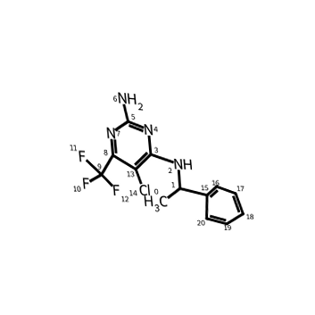 CC(Nc1nc(N)nc(C(F)(F)F)c1Cl)c1ccccc1